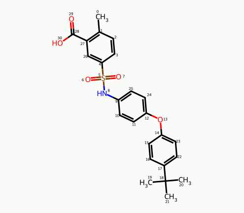 Cc1ccc(S(=O)(=O)Nc2ccc(Oc3ccc(C(C)(C)C)cc3)cc2)cc1C(=O)O